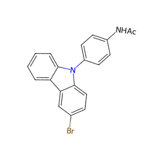 CC(=O)Nc1ccc(-n2c3ccccc3c3cc(Br)ccc32)cc1